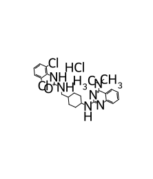 CN(C)c1nc(NC2CCC(CNC(=O)Nc3c(Cl)cccc3Cl)CC2)nc2ccccc12.Cl